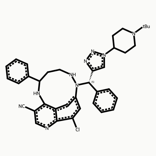 CC(C)(C)N1CCC(n2cc([C@H](c3ccccc3)N3NCCC(c4ccccc4)Nc4c(C#N)cnc5c(Cl)cc3cc45)nn2)CC1